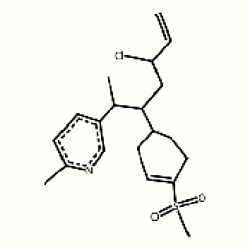 C=CC(Cl)CC(C1CC=C(S(C)(=O)=O)CC1)C(C)c1ccc(C)nc1